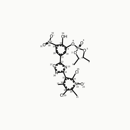 CCOP(=O)(OCC)Oc1cc(-c2nc(-c3c(C)c(Cl)c(C)[n+]([O-])c3Cl)no2)cc([N+](=O)[O-])c1O